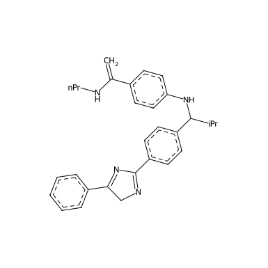 C=C(NCCC)c1ccc(NC(c2ccc(C3=NCC(c4ccccc4)=N3)cc2)C(C)C)cc1